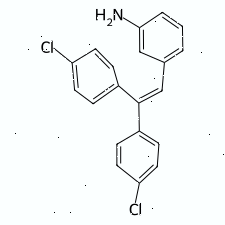 Nc1cccc(C=C(c2ccc(Cl)cc2)c2ccc(Cl)cc2)c1